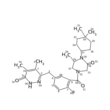 Cc1c(Cc2ccc(F)c(C(=O)N3CC(=O)N(C4CCC(C)(C)CC4)C(C)C3)c2)n[nH]c(=O)c1C